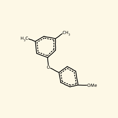 COc1ccc(Oc2cc(C)cc(C)c2)cc1